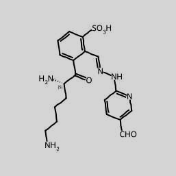 NCCCC[C@H](N)C(=O)c1cccc(S(=O)(=O)O)c1C=NNc1ccc(C=O)cn1